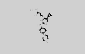 CN1CCN(c2ccc(Nc3ncc(C4CC4)c(NCCC(N)=O)n3)cn2)CC1